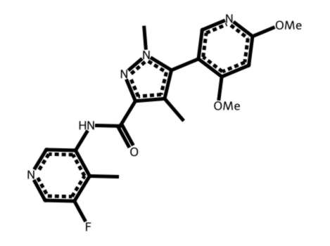 COc1cc(OC)c(-c2c(C)c(C(=O)Nc3cncc(F)c3C)nn2C)cn1